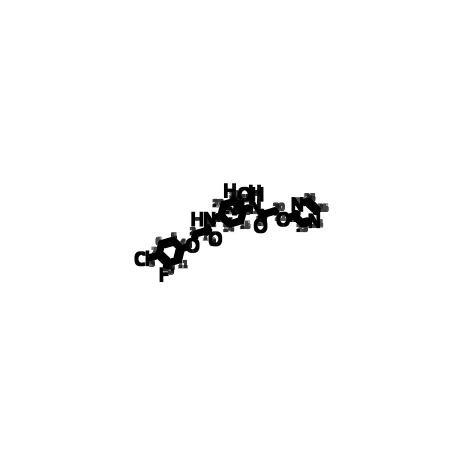 O=C(COc1ccc(Cl)c(F)c1)NC12CCC(NC(=O)COc3cnccn3)(CC1)[C@@H](O)C2